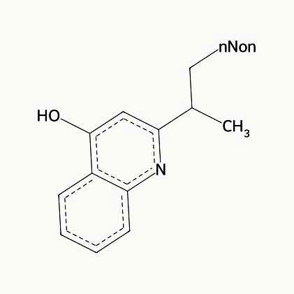 CCCCCCCCCCC(C)c1cc(O)c2ccccc2n1